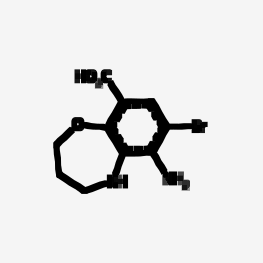 Nc1c(Br)cc(C(=O)O)c2c1NCCCO2